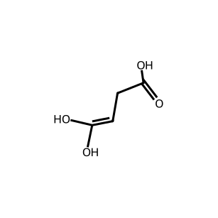 O=C(O)CC=C(O)O